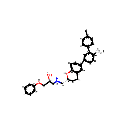 Cc1ccc(-c2cc(-c3ccc4c(c3)CC[C@H](CNC[C@H](O)COc3ccccc3)O4)ccc2C(=O)O)cc1